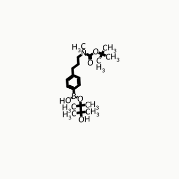 CN(CCCc1ccc(B(O)OC(C)(C)C(C)(C)O)cc1)C(=O)OC(C)(C)C